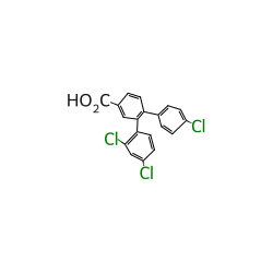 O=C(O)c1ccc(-c2ccc(Cl)cc2)c(-c2ccc(Cl)cc2Cl)c1